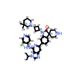 CC(C)n1cnc2cc(-c3ccc4c(c3)N([C@H]3C[C@@H](N5CCCC(C)(C)C5)C3)C(=O)C43CCNCC3)nc(Nc3ccncc3F)c21